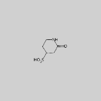 O=C1CC(S(=O)(=O)O)CCN1